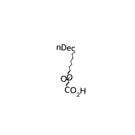 CCCCCCCCCCCCCCCCC=COC(=O)C=CC(=O)O